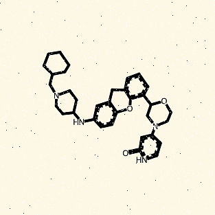 O=c1cc(N2CCOC(c3cccc4c3Oc3ccc(NC5CCN(CC6CCCCC6)CC5)cc3C4)C2)cc[nH]1